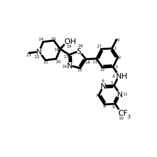 Cc1cc(Nc2nccc(C(F)(F)F)n2)cc(-c2cnc(C3(O)CCN(C)CC3)s2)c1